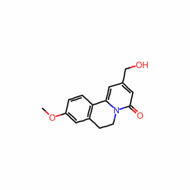 COc1ccc2c(c1)CCn1c-2cc(CO)cc1=O